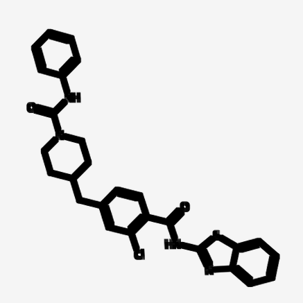 O=C(Nc1nc2ccccc2s1)c1ccc(CC2CCN(C(=O)Nc3ccccc3)CC2)cc1Cl